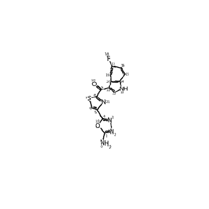 Nc1nnc(-c2csc(C(=O)c3c[nH]c4ccc(F)cc34)n2)o1